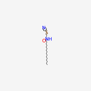 CCCCCCCCCCCCCCCC(=O)NCCCSc1ccncc1